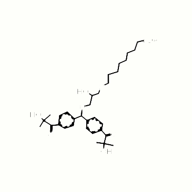 CCCCCCCCCCCCCCCCCCOCC(O)COC(c1ccc(C(=O)C(C)(C)O)cc1)c1ccc(C(=O)C(C)(C)O)cc1